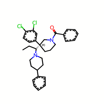 CCC(N1CCC(c2ccccc2)CC1)[C@@]1(c2ccc(Cl)c(Cl)c2)CCCN(C(=O)c2ccccc2)C1